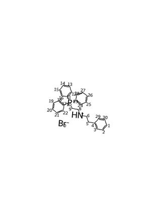 [Br-].c1ccc(CCNCC[P+](c2ccccc2)(c2ccccc2)c2ccccc2)cc1